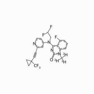 [2H]C([2H])([2H])n1c(=O)nc(N(CC(F)F)c2ccnc(C#CC3(C(F)(F)F)CC3)c2)c2c(F)cccc21